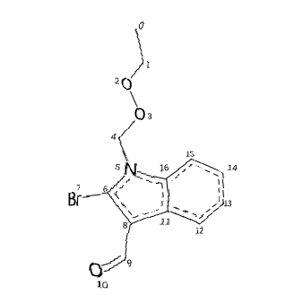 CCOOCn1c(Br)c(C=O)c2ccccc21